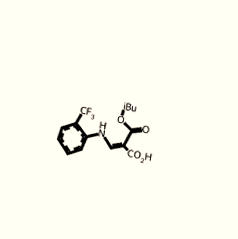 CCC(C)OC(=O)C(=CNc1ccccc1C(F)(F)F)C(=O)O